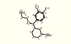 CC(C)(C)N1CCC[C@@H]([C@@H](OCCN)c2ccc(F)c(Cl)c2)C1